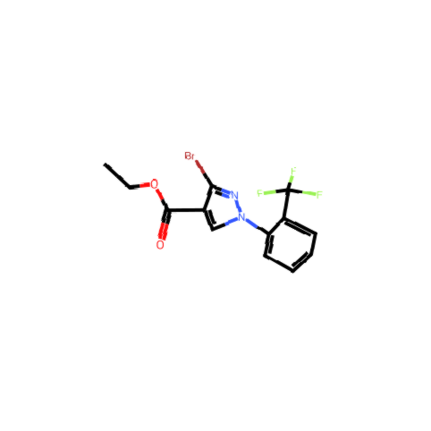 CCOC(=O)c1cn(-c2ccccc2C(F)(F)F)nc1Br